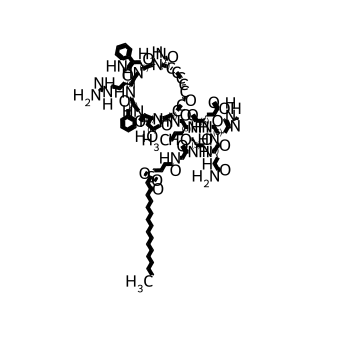 CCCCCCCCCCCCCCCC(=O)CS(=O)(=O)CCCC(=O)NCC(=O)N[C@@H](CO)C(=O)N[C@@H](CCC(N)=O)C(=O)N[C@@H](Cc1c[nH]cn1)C(=O)N[C@@H](CCC(=O)O)C(=O)N[C@@H](CCCC)C(=O)N[C@H]1CCC(=O)CCCCC[C@@H](C(N)=O)NC(=O)[C@H](Cc2c[nH]c3ccccc23)NC(=O)[C@H](CCCNC(=N)N)NC(=O)[C@@H](Cc2ccccc2)NC(=O)[C@@H]2C[C@@H](O)CN2C1=O